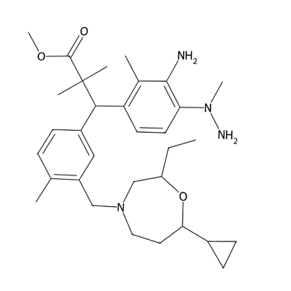 CCC1CN(Cc2cc(C(c3ccc(N(C)N)c(N)c3C)C(C)(C)C(=O)OC)ccc2C)CCC(C2CC2)O1